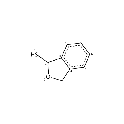 SC1OCc2ccccc21